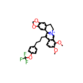 COc1ccc2c(CCCc3ccc(OC(F)(F)F)cc3)c3[n+](cc2c1OC)CCc1cc2c(cc1-3)OCO2